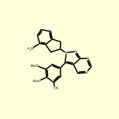 COc1cc(-c2c3cncnc3nn2C2Cc3cccc(N)c3C2)cc(C#N)c1OC